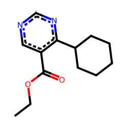 CCOC(=O)c1cn[c]nc1C1CCCCC1